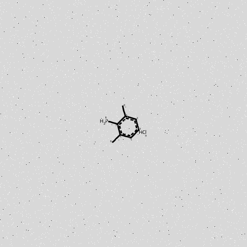 Cc1cccc(C)c1P.Cl